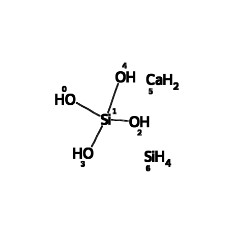 O[Si](O)(O)O.[CaH2].[SiH4]